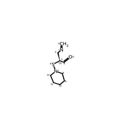 C=NC[C@@H](C=O)SN1CCCCC1